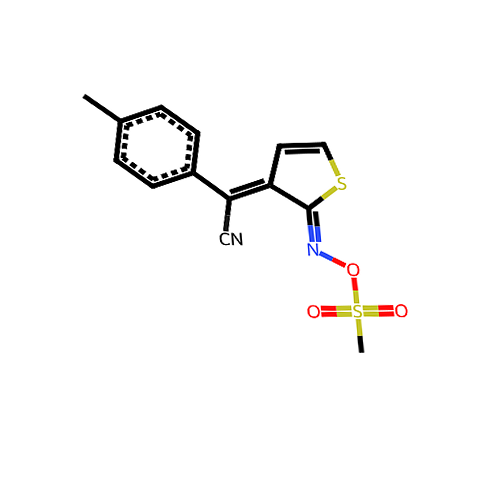 Cc1ccc(/C(C#N)=C2\C=CS\C2=N/OS(C)(=O)=O)cc1